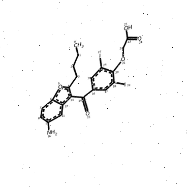 CCCCc1oc2ccc(N)cc2c1C(=O)c1cc(I)c(OCC(=O)O)c(I)c1